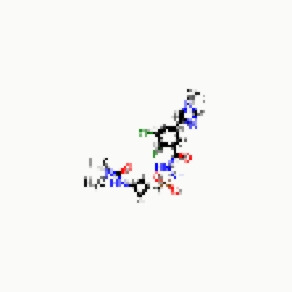 CN(C)C(=O)N[C@H]1C[C@H](CS(=O)(=O)NNC(=O)c2cc(-c3cn(C)cn3)cc(Cl)c2F)C1